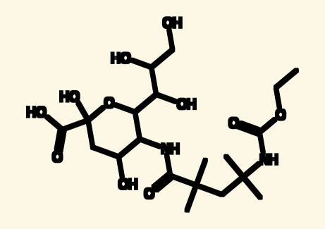 CCOC(=O)NC(C)(C)CC(C)(C)C(=O)NC1C(O)CC(O)(C(=O)O)OC1C(O)C(O)CO